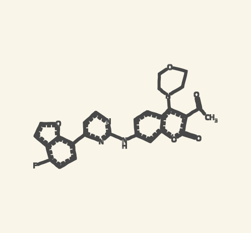 CC(=O)c1c(N2CCOCC2)c2ccc(Nc3nccc(-c4ccc(F)c5ccoc45)n3)cc2oc1=O